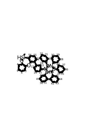 C[SiH]1Oc2ccccc2Oc2c(-c3cccc(N4B(c5ccccc5)N(c5ccccc5)B(c5ccccc5)N(c5ccccc5)B4c4ccccc4)c3)cccc21